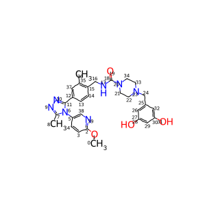 COc1ccc(-n2c(C)nnc2-c2ccc(CNC(=O)N3CCN(Cc4cc(O)cc(O)c4)CC3)c(C)c2)cn1